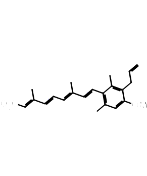 C=CCc1c(OC)cc(C)c(/C=C/C(C)=C/C=C/C(C)=C/C(=O)O)c1C